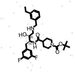 CCc1cccc(CNC[C@@H](O)[C@H](Cc2cc(F)cc(F)c2)NC(=O)C2CCN(C(=O)OC(C)(C)C)CC2)c1